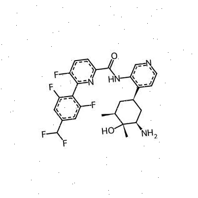 C[C@H]1C[C@@H](c2ccncc2NC(=O)c2ccc(F)c(-c3c(F)cc(C(F)F)cc3F)n2)C[C@@H](N)[C@]1(C)O